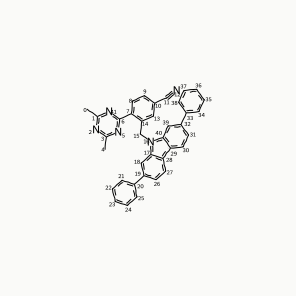 Cc1nc(C)nc(-c2ccc(C#N)cc2Cn2c3cc(-c4ccccc4)ccc3c3ccc(-c4ccccc4)cc32)n1